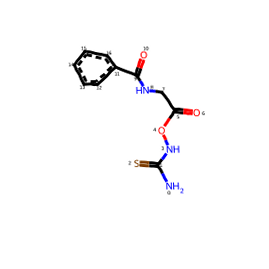 NC(=S)NOC(=O)CNC(=O)c1ccccc1